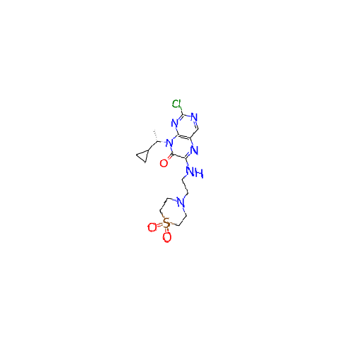 C[C@@H](C1CC1)n1c(=O)c(NCCN2CCS(=O)(=O)CC2)nc2cnc(Cl)nc21